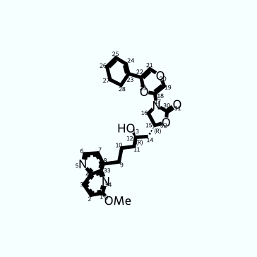 COc1ccc2nccc(CCC[C@@H](O)C[C@@H]3CN(C4=COC=C(C5=CC=CCC5)O4)C(=O)O3)c2n1